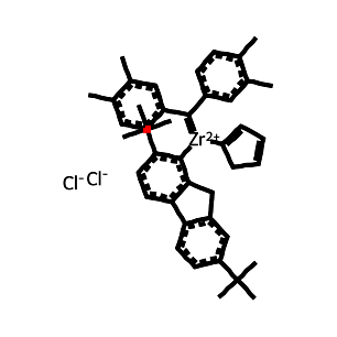 Cc1ccc([C](c2ccc(C)c(C)c2)=[Zr+2]([C]2=CC=CC2)[c]2c(C(C)(C)C)ccc3c2Cc2cc(C(C)(C)C)ccc2-3)cc1C.[Cl-].[Cl-]